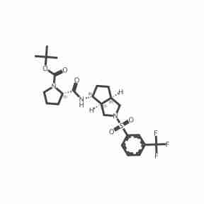 CC(C)(C)OC(=O)N1CCC[C@H]1C(=O)N[C@@H]1CC[C@H]2CN(S(=O)(=O)c3cccc(C(F)(F)F)c3)C[C@H]21